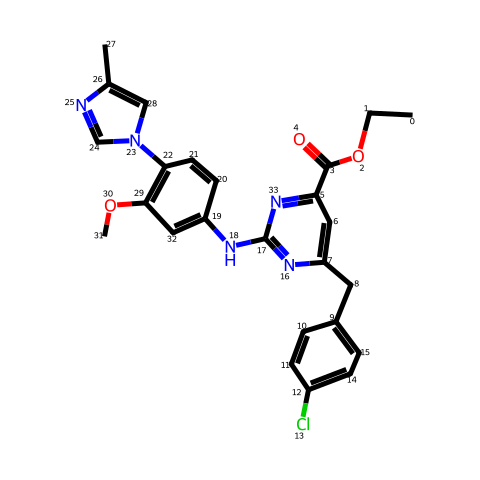 CCOC(=O)c1cc(Cc2ccc(Cl)cc2)nc(Nc2ccc(-n3cnc(C)c3)c(OC)c2)n1